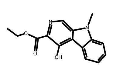 CCOC(=O)c1ncc2c(c1O)c1ccccc1n2C